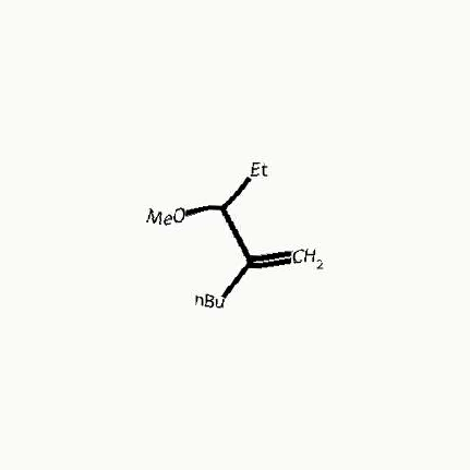 C=C(CCCC)C(CC)OC